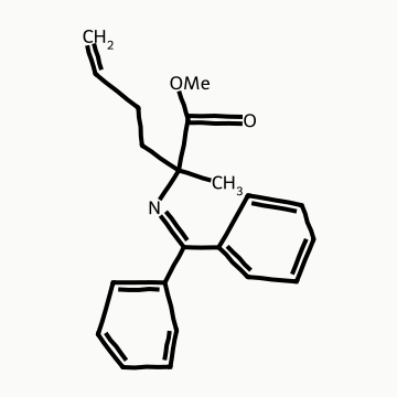 C=CCCC(C)(N=C(c1ccccc1)c1ccccc1)C(=O)OC